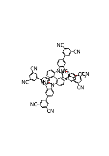 N#Cc1cc(C#N)cc(-c2ccc3c(c2)c2cc(-c4cc(C#N)cc(C#N)c4)ccc2n3-c2ccc(-c3ccc(C(F)(F)F)cc3C#N)cc2-c2c(C#N)cccc2-n2c3ccc(-c4cc(C#N)cc(C#N)c4)cc3c3cc(-c4cc(C#N)cc(C#N)c4)ccc32)c1